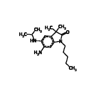 CCCCCN1C(=O)C(C)(C)c2cc(NC(C)C)c(N)cc21